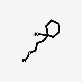 CC(C)OCCCC1(O)CCCCC1